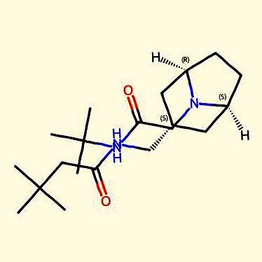 CC(C)(C)CC(=O)NC[C@@H]1C[C@H]2CC[C@@H](C1)N2CC(=O)NC(C)(C)C